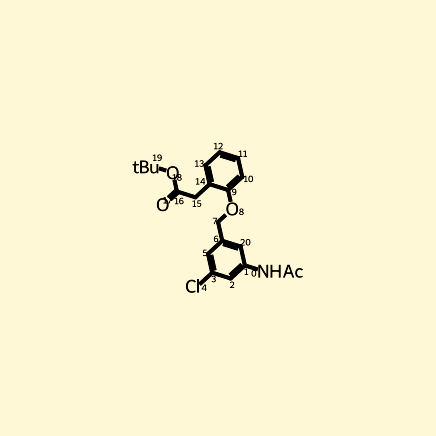 CC(=O)Nc1cc(Cl)cc(COc2ccccc2CC(=O)OC(C)(C)C)c1